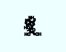 C[C@@]1(O)C(O)C(CO)O[C@H]1n1cc(I)c2c(N)ncnc21